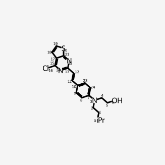 CC(C)CCN(CCO)c1ccc(/C=C/c2nc(Cl)c3ccsc3n2)cc1